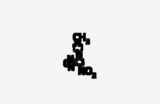 CN1CCN(c2ccc([N+](=O)[O-])c3nonc23)CC1